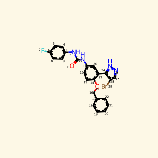 O=C(Nc1ccc(F)cc1)Nc1ccc(OCc2ccccc2)c(-c2[nH]ncc2Br)c1